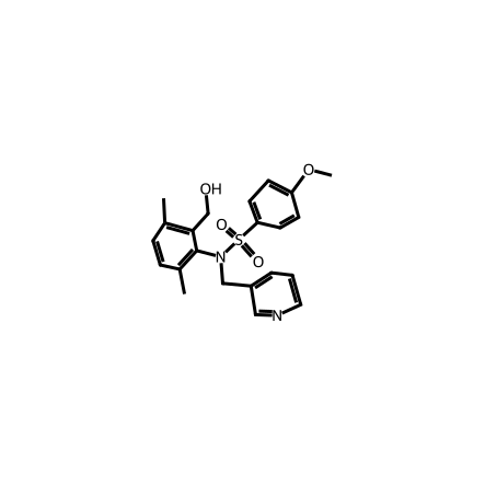 COc1ccc(S(=O)(=O)N(Cc2cccnc2)c2c(C)ccc(C)c2CO)cc1